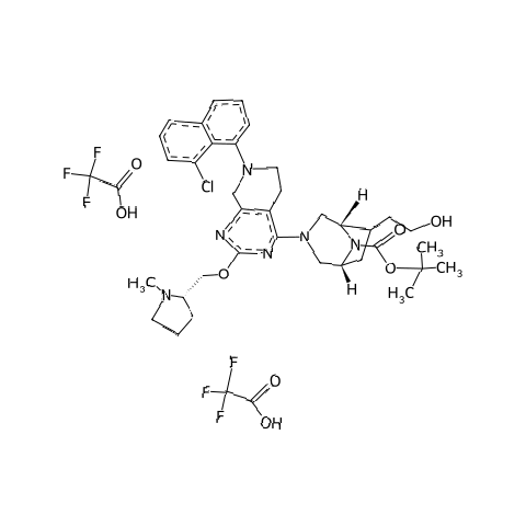 CN1CCC[C@H]1COc1nc2c(c(N3C[C@H]4CC(CCO)[C@@H](C3)N4C(=O)OC(C)(C)C)n1)CCN(c1cccc3cccc(Cl)c13)C2.O=C(O)C(F)(F)F.O=C(O)C(F)(F)F